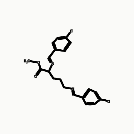 COC(=O)C(CCC/N=C/c1ccc(Cl)cc1)/N=C/c1ccc(Cl)cc1